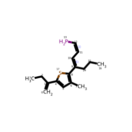 C=C(CC)c1cc(C)c(/C(=C/C=C\P)CCC)s1